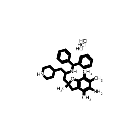 Cc1c(C)c2c(c(C)c1N)CC(C)(CC(CC1CCNCC1)NC(c1ccccc1)c1ccccc1)O2.Cl.Cl.Cl